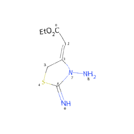 CCOC(=O)/C=C1\CSC(=N)N1N